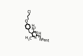 CCCCCNc1nc(C)c(Cc2ccc(OCCCCl)cc2)c(N)n1